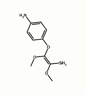 COC([SiH3])=C(OC)Oc1ccc(N)cc1